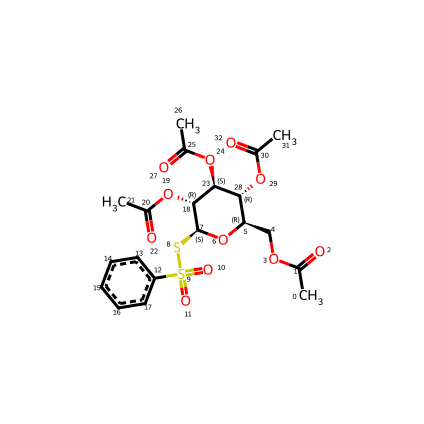 CC(=O)OC[C@H]1O[C@@H](SS(=O)(=O)c2ccccc2)[C@H](OC(C)=O)[C@@H](OC(C)=O)[C@@H]1OC(C)=O